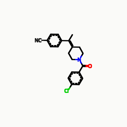 CC(=C1CCN(C(=O)c2ccc(Cl)cc2)CC1)c1ccc(C#N)cc1